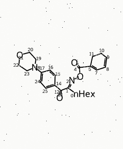 CCCCCC/C(=N\OC(=O)C1=CC=CCC1)C(=O)c1ccc(N2CCOCC2)cc1